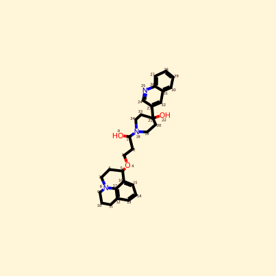 OC(CCOC1CCN2CCCc3cccc1c32)N1CCC(O)(c2cnc3ccccc3c2)CC1